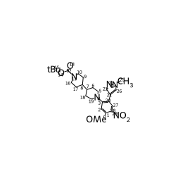 COc1cc(N2CCC(C3CCN(C(=O)OC(C)(C)C)CC3)CC2)c(-c2cnn(C)c2)cc1[N+](=O)[O-]